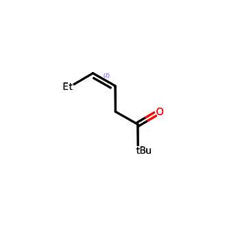 CC/C=C\CC(=O)C(C)(C)C